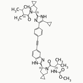 COC(=O)N[C@H](C(=O)N1CC2(CC2)C[C@H]1c1nc2cc(C#Cc3ccc(-c4nc([C@@H]5CC6(CC6)CN5C(=O)[C@@H](C)C(C)C)[nH]c4C4CC4)cc3)ccc2[nH]1)C(C)C